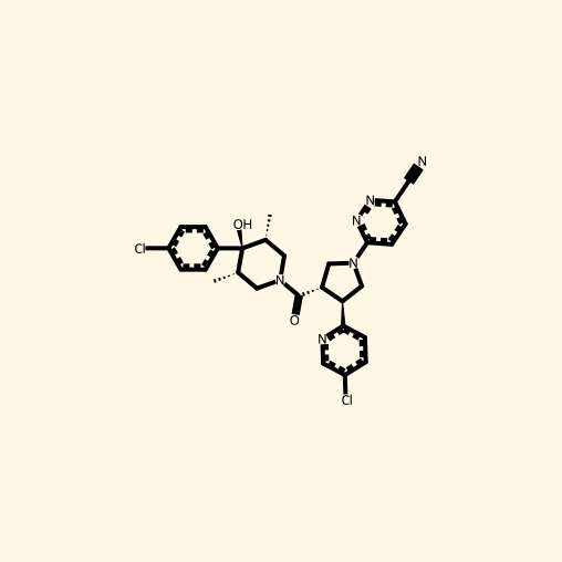 C[C@@H]1CN(C(=O)[C@@H]2CN(c3ccc(C#N)nn3)C[C@H]2c2ccc(Cl)cn2)C[C@H](C)[C@]1(O)c1ccc(Cl)cc1